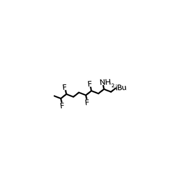 CCC(C)CC(N)CC(F)C(F)CCC(F)C(C)F